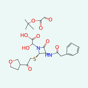 CC(C)(C)OC(=O)C=O.O=C(Cc1ccccc1)N[C@@H]1C(=O)N(C(O)C(=O)O)[C@@H]1SCC(=O)C1CCOC1